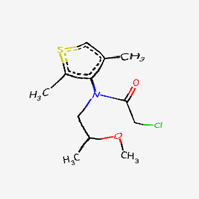 COC(C)CN(C(=O)CCl)c1c(C)csc1C